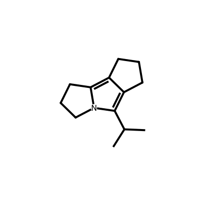 CC(C)c1c2c(c3n1CCC3)CCC2